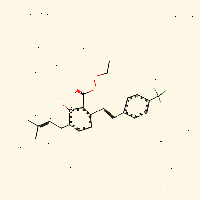 CCOOC(=O)c1c(C=Cc2ccc(C(F)(F)F)cc2)ccc(CC=C(C)C)c1O